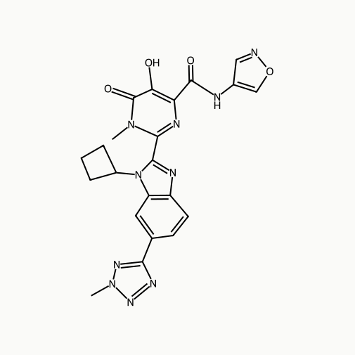 Cn1nnc(-c2ccc3nc(-c4nc(C(=O)Nc5cnoc5)c(O)c(=O)n4C)n(C4CCC4)c3c2)n1